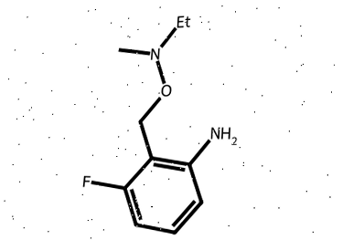 CCN(C)OCc1c(N)cccc1F